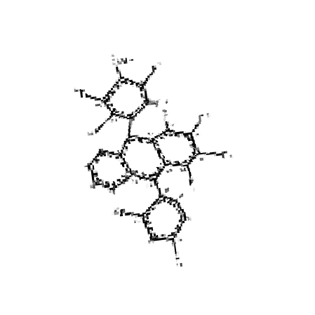 COc1c(F)c(F)c(-c2c3ccccc3c(-c3ccc(F)cc3F)c3c(F)c(F)c(F)c(F)c23)c(F)c1F